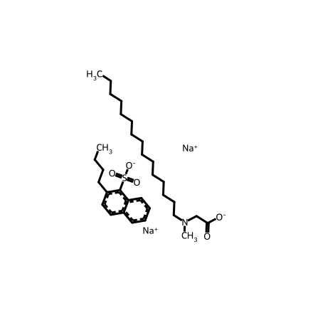 CCCCCCCCCCCCCCCN(C)CC(=O)[O-].CCCCc1ccc2ccccc2c1S(=O)(=O)[O-].[Na+].[Na+]